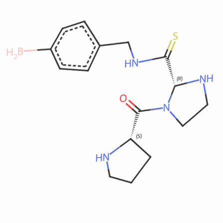 Bc1ccc(CNC(=S)[C@@H]2NCCN2C(=O)[C@@H]2CCCN2)cc1